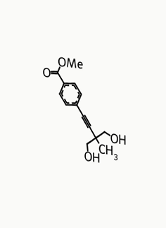 COC(=O)c1ccc(C#CC(C)(CO)CO)cc1